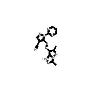 Cc1nn2c(C)n[nH]c2c1/N=N/c1c(C#N)cnn1-c1ncccn1